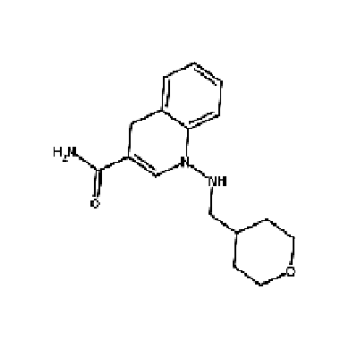 NC(=O)C1=CN(NCC2CCOCC2)c2ccccc2C1